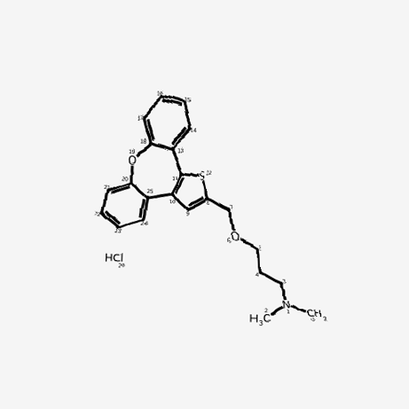 CN(C)CCCOCc1cc2c(s1)-c1ccccc1Oc1ccccc1-2.Cl